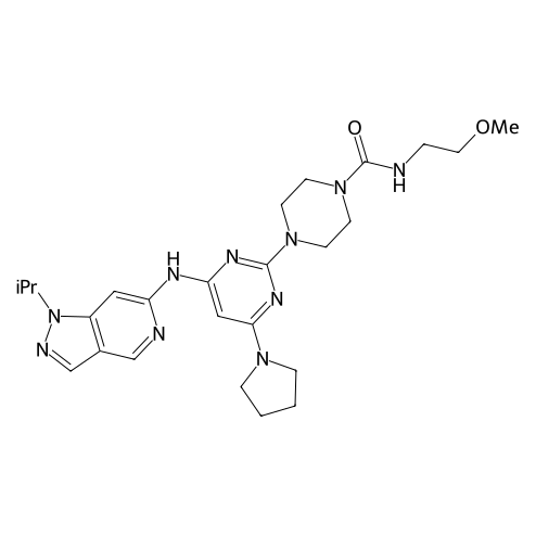 COCCNC(=O)N1CCN(c2nc(Nc3cc4c(cn3)cnn4C(C)C)cc(N3CCCC3)n2)CC1